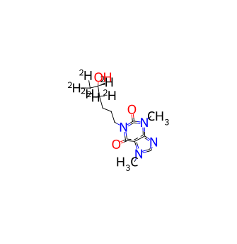 [2H]C([2H])([2H])[C@]([2H])(O)C([2H])([2H])CCCn1c(=O)c2c(ncn2C)n(C)c1=O